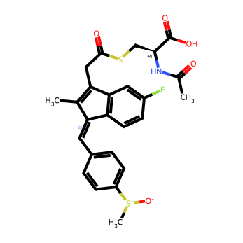 CC(=O)N[C@@H](CSC(=O)CC1=C(C)/C(=C/c2ccc([S+](C)[O-])cc2)c2ccc(F)cc21)C(=O)O